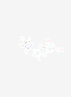 Cc1cn([C@H]2C[C@H](OC(CC(=O)O)C(=O)O)[C@@H](C)O2)c(=O)[nH]c1=O